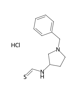 Cl.S=CNC1CCN(Cc2ccccc2)C1